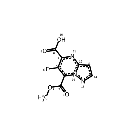 COC(=O)c1c(F)c(C(=O)O)nc2ccnn12